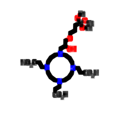 CCO[Si](CCCOCC(O)CN1CCCN(CCC(=O)O)CCCN(CCC(=O)O)CCCN(CCC(=O)O)CCC1)(OCC)OCC